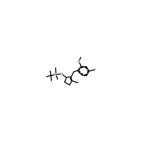 COc1cc(F)ccc1CC1=C(C)CCC1O[Si](C)(C)C(C)(C)C